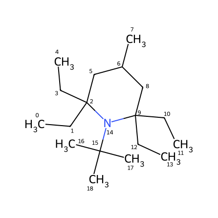 CCC1(CC)CC(C)CC(CC)(CC)N1C(C)(C)C